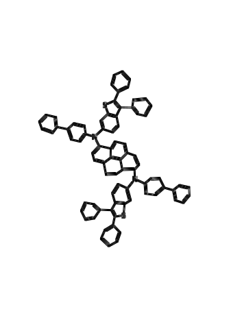 c1ccc(-c2ccc(N(c3ccc4c(-c5ccccc5)c(-c5ccccc5)sc4c3)c3ccc4ccc5c(N(c6ccc(-c7ccccc7)cc6)c6ccc7c(-c8ccccc8)c(-c8ccccc8)sc7c6)ccc6ccc3c4c65)cc2)cc1